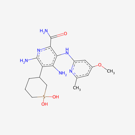 COc1cc(C)nc(Nc2c(C(N)=O)nc(N)c(C3CCCS(O)(O)C3)c2N)c1